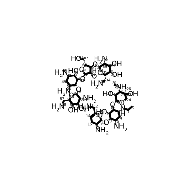 CCN[C@@H]1C[C@H](N)[C@@H](O[C@H]2OC(CN)=CC[C@H]2N)[C@@H](O)[C@H]1O[C@H]1OC[C@](C)(O)[C@@H](NC)[C@H]1O.NC[C@@H]1O[C@H](O[C@H]2[C@@H](O)[C@H](O[C@@H]3[C@@H](O)[C@H](N)C[C@H](N)[C@H]3O[C@H]3O[C@H](CN)[C@@H](O)[C@H](O)[C@H]3N)O[C@@H]2CO)[C@H](N)[C@@H](O)[C@@H]1O